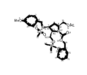 COc1ccc(CN([C@H]2C[C@@H](COC(C)=O)N(C(=O)OCc3ccccc3)[C@H]2CO[Si](C)(C)C(C)(C)C)S(C)(=O)=O)cc1